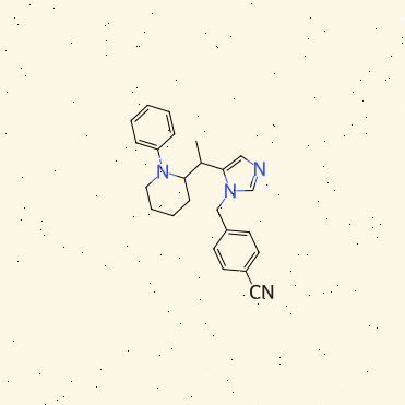 CC(c1cncn1Cc1ccc(C#N)cc1)C1CCCCN1c1ccccc1